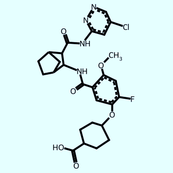 COc1cc(F)c(OC2CCC(C(=O)O)CC2)cc1C(=O)NC1C2CCC(C2)C1C(=O)Nc1cc(Cl)cnn1